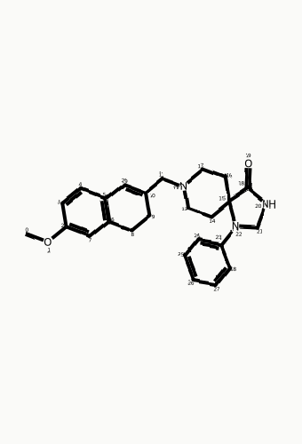 COc1ccc2c(c1)CCC(CN1CCC3(CC1)C(=O)NCN3c1ccccc1)=C2